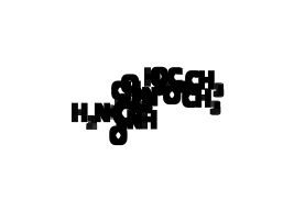 C[C@@H]1[C@H](N)C(=O)NC12CN(C(=O)OC(C)(C)C)C2=O